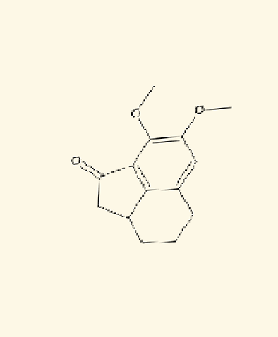 COc1cc2c3c(c1OC)C(=O)CC3CCC2